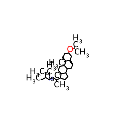 CCC(/C=C/C(C)C1CCC2C3CC=C4CC(OC(C)C)CCC4(C)C3CCC12C)C(C)C